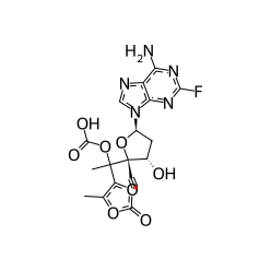 C#C[C@@]1(C(C)(OC(=O)O)c2oc(=O)oc2C)O[C@@H](n2cnc3c(N)nc(F)nc32)C[C@@H]1O